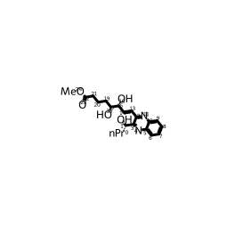 CCC[C@H](O)c1nc2ccccc2nc1/C=C/[C@@H](O)[C@@H](O)CCCC(=O)OC